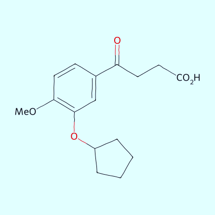 COc1ccc(C(=O)CCC(=O)O)cc1OC1CCCC1